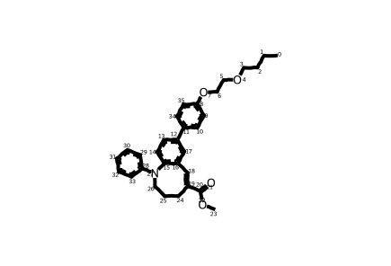 CCCCOCCOc1ccc(-c2ccc3c(c2)/C=C(/C(=O)OC)CCCN3c2ccccc2)cc1